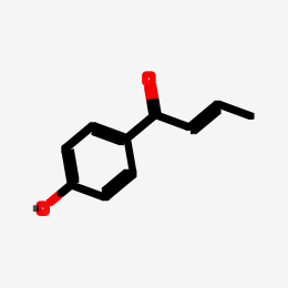 CC=CC(=O)c1ccc([O])cc1